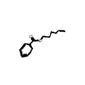 C=CCCCCOC(=O)c1ccccc1